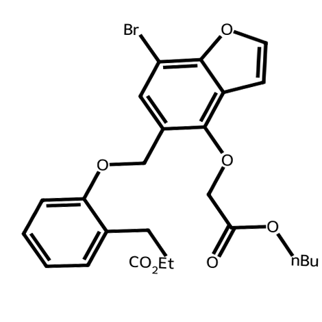 CCCCOC(=O)COc1c(COc2ccccc2CC(=O)OCC)cc(Br)c2occc12